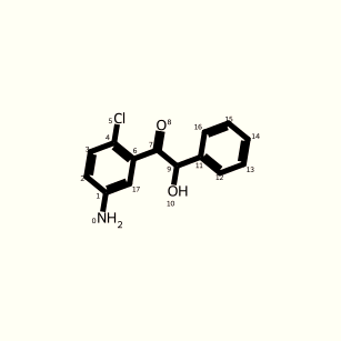 Nc1ccc(Cl)c(C(=O)C(O)c2ccccc2)c1